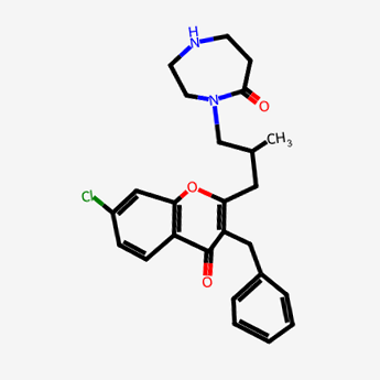 CC(Cc1oc2cc(Cl)ccc2c(=O)c1Cc1ccccc1)CN1CCNCCC1=O